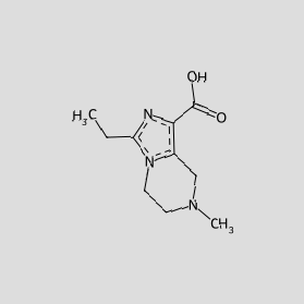 CCc1nc(C(=O)O)c2n1CCN(C)C2